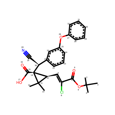 CC(C)(C)OC(=O)C(Cl)=C[C@H]1C(C)(C)[C@]1(C(=O)O)[C@@H](C#N)c1cccc(Oc2ccccc2)c1